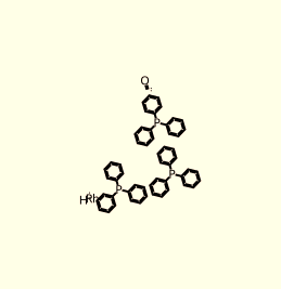 [C]=O.[H-].[Rh].c1ccc(P(c2ccccc2)c2ccccc2)cc1.c1ccc(P(c2ccccc2)c2ccccc2)cc1.c1ccc(P(c2ccccc2)c2ccccc2)cc1